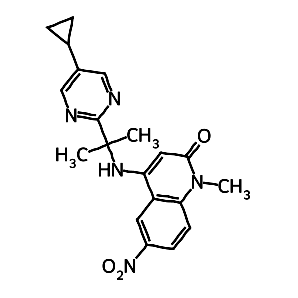 Cn1c(=O)cc(NC(C)(C)c2ncc(C3CC3)cn2)c2cc([N+](=O)[O-])ccc21